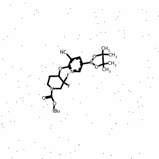 CC(C)(C)OC(=O)N1CCC(Oc2ncc(B3OC(C)(C)C(C)(C)O3)cc2C#N)C(F)(F)C1